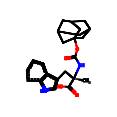 C[C@](Cc1c[nH]c2ccccc12)(NC(=O)OC12CC3CC(CC(C3)C1)C2)C(=O)O